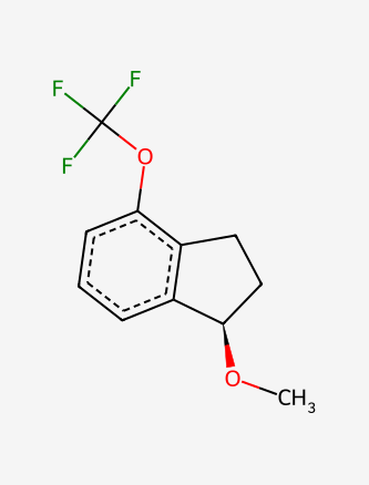 CO[C@@H]1CCc2c(OC(F)(F)F)cccc21